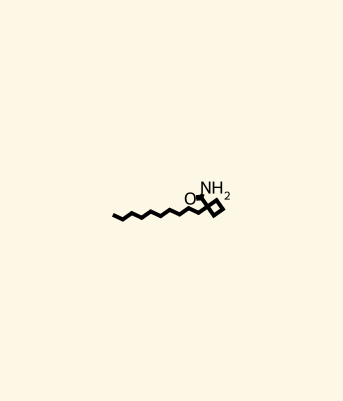 CCCCCCCCCCC1(C(N)=O)CCC1